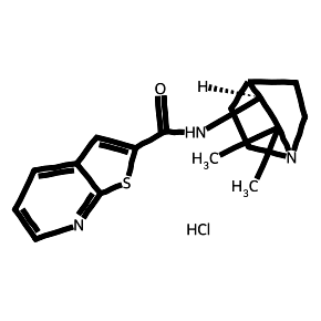 CC1(C)[C@@H](NC(=O)c2cc3cccnc3s2)C2CCN1CC2.Cl